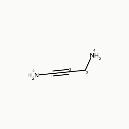 NC#CCN